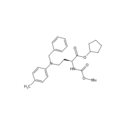 Cc1ccc(N(CC[C@H](NC(=O)OC(C)(C)C)C(=O)OC2CCCC2)Cc2ccccc2)cc1